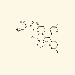 CCN(C)C(=O)Oc1c2n(ncc1=O)[C@@H](C(c1ccc(F)cc1)c1ccc(F)cc1)[C@H]1CCCN1C2=O